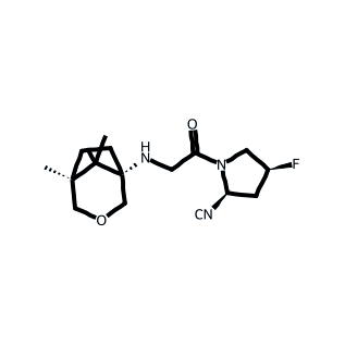 [C-]#[N+][C@@H]1C[C@H](F)CN1C(=O)CN[C@]12CC[C@](C)(COC1)C2(C)C